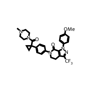 COc1ccc(-n2nc(C(F)(F)F)c3c2C(=O)N(c2ccc(C4(C(=O)N5CCN(C)CC5)CC4)cc2)CC3)cc1